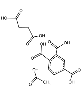 CC(=O)O.O=C(O)CCC(=O)O.O=C(O)c1ccc(C(=O)O)c(C(=O)O)c1